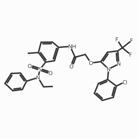 CCN(c1ccccc1)S(=O)(=O)c1cc(NC(=O)COc2cc(C(F)(F)F)nn2-c2ccccc2Cl)ccc1C